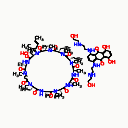 C/C=C/C[C@@H](C)[C@@H](O)[C@H]1C(=O)N[C@@H](CC)C(=O)N(C)CC(=O)N(C)[C@@H](CC(C)C)C(=O)N[C@@H](C(C)C)C(=O)N(C)[C@@H](CC(C)C)C(=O)N[C@@H](C)C(=O)N[C@H](C)C(=O)N(C)[C@@H](CC(C)C)C(=O)N(C)[C@@H](CC(C)C)C(=O)N(C)[C@@H](C(C)C)C(=O)N1C.O=C1c2c(O)ccc(O)c2C(=O)c2c(NCCNCCO)ccc(NCCNCCO)c21